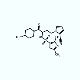 Cc1nc(C)c(S(=O)(=O)NC(CCn2cccc2C#N)C(=O)N2CCC(C)CC2)s1